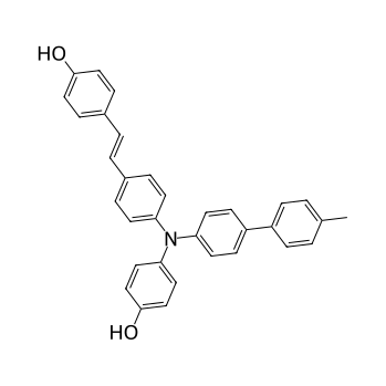 Cc1ccc(-c2ccc(N(c3ccc(O)cc3)c3ccc(C=Cc4ccc(O)cc4)cc3)cc2)cc1